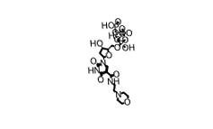 O=C(NCCN1CCOCC1)c1cn([C@H]2C[C@H](O)[C@@H](COP(=O)(O)OP(=O)(O)OP(=O)(O)O)O2)c(=O)[nH]c1=O